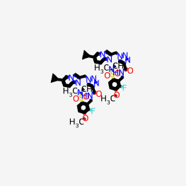 COc1ccc(S(=O)(=O)N(C)C)c(CNC(=O)c2cn(Cc3cn4cc(C5CC5)ccc4n3)nn2)c1F.COc1ccc(S(=O)(=O)N(C)C)c(CNC(=O)c2cn(Cc3cn4cc(C5CC5)ccc4n3)nn2)c1F